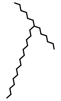 [CH2]CCCCCC(CCCCCC)CCCCCCCCCCCCCCC